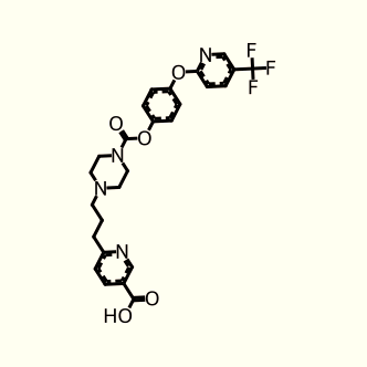 O=C(O)c1ccc(CCCN2CCN(C(=O)Oc3ccc(Oc4ccc(C(F)(F)F)cn4)cc3)CC2)nc1